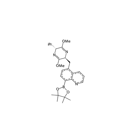 COC1=N[C@H](C(C)C)C(OC)=N[C@H]1Cc1ccc(B2OC(C)(C)C(C)(C)O2)c2ncccc12